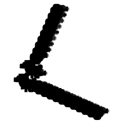 CCCP(CCC)C([CH2][Tc+5])OC([CH2][Tc+5])P(CCC)CCC.CCCP(CCC)C([CH2][Tc+5])OC([CH2][Tc+5])P(CCC)CCC.[O-][Cl+3]([O-])([O-])[O-].[O-][Cl+3]([O-])([O-])[O-].[O-][Cl+3]([O-])([O-])[O-].[O-][Cl+3]([O-])([O-])[O-].[O-][Cl+3]([O-])([O-])[O-].[O-][Cl+3]([O-])([O-])[O-].[O-][Cl+3]([O-])([O-])[O-].[O-][Cl+3]([O-])([O-])[O-].[O-][Cl+3]([O-])([O-])[O-].[O-][Cl+3]([O-])([O-])[O-].[O-][Cl+3]([O-])([O-])[O-].[O-][Cl+3]([O-])([O-])[O-].[O-][Cl+3]([O-])([O-])[O-].[O-][Cl+3]([O-])([O-])[O-].[O-][Cl+3]([O-])([O-])[O-].[O-][Cl+3]([O-])([O-])[O-].[O-][Cl+3]([O-])([O-])[O-].[O-][Cl+3]([O-])([O-])[O-].[O-][Cl+3]([O-])([O-])[O-].[O-][Cl+3]([O-])([O-])[O-]